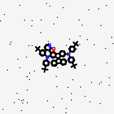 CC(C)(C)c1ccc(N(c2ccc(C(C)(C)C)cc2)c2ccc3c(c2)C2(c4ccccc4-c4ccccc42)c2cc(N(c4ccc(C(C)(C)C)cc4)c4ccc(C(C)(C)C)cc4)c4c(oc5ncccc54)c2-3)cc1